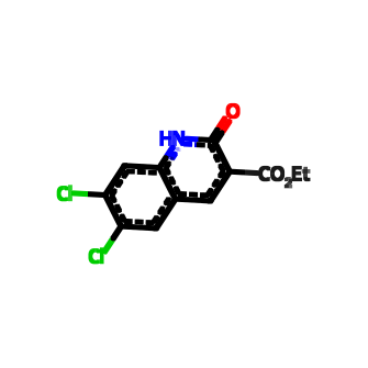 CCOC(=O)c1cc2cc(Cl)c(Cl)cc2[nH]c1=O